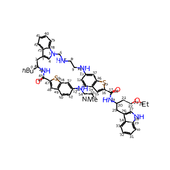 CCCC[C@@H](Cc1cn(CNCCNc2ccc3cc(C(=O)NC(CCOCC)Cc4c[nH]c5ccccc45)sc3c2)c2ccccc12)NC(=O)c1cc2ccc(NCCNC)cc2s1